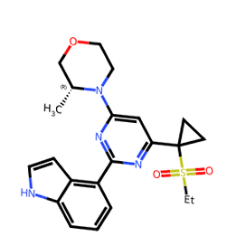 CCS(=O)(=O)C1(c2cc(N3CCOC[C@H]3C)nc(-c3cccc4[nH]ccc34)n2)CC1